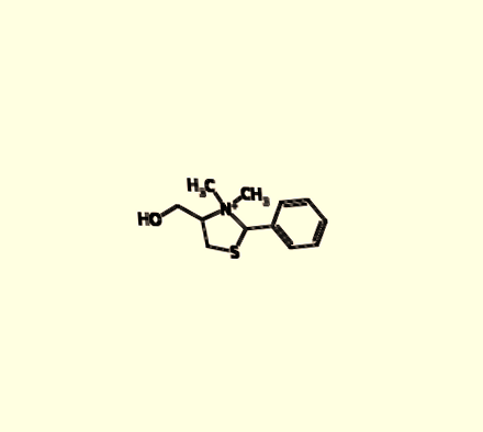 C[N+]1(C)C(CO)CSC1c1ccccc1